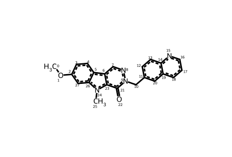 COc1ccc2c3cnn(Cc4ccc5ncccc5c4)c(=O)c3n(C)c2c1